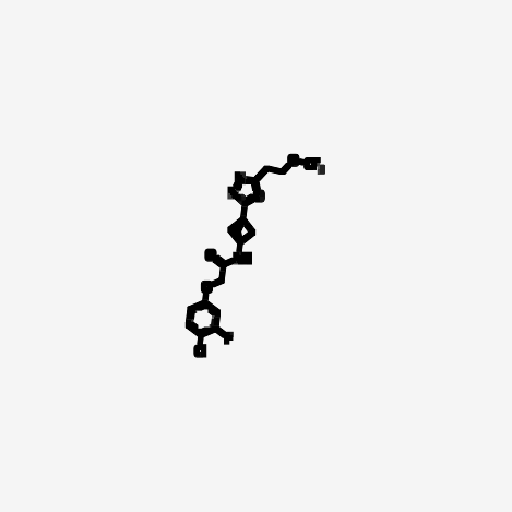 O=C(COc1ccc(Cl)c(F)c1)NC12CC(c3nnc(CCOC(F)(F)F)o3)(C1)C2